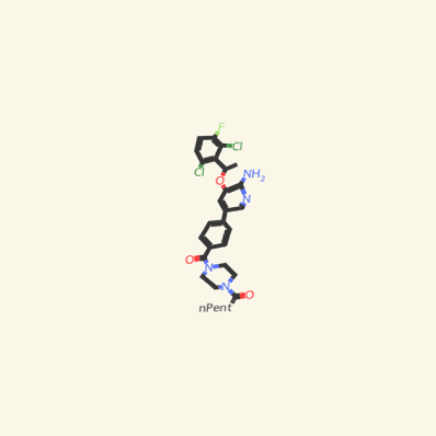 CCCCCC(=O)N1CCN(C(=O)c2ccc(-c3cnc(N)c(OC(C)c4c(Cl)ccc(F)c4Cl)c3)cc2)CC1